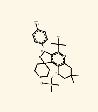 CC1(C)Cc2nc(C(C)(C)O)c3c(c2[C@@H](O[Si](C)(C)C(C)(C)C)C1)C1(CCOCC1)O[C@@H]3c1ccc(C(F)(F)F)cc1